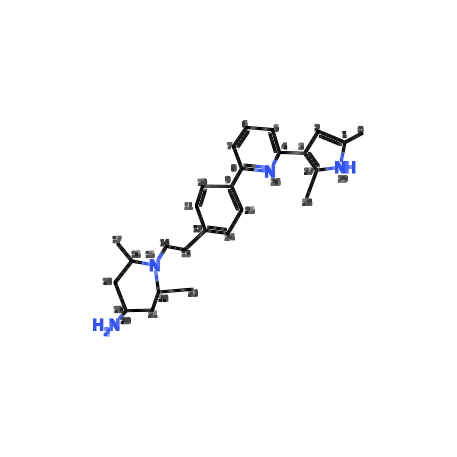 Cc1cc(-c2cccc(-c3ccc(CCN4C(C)CC(N)CC4C)cc3)n2)c(C)[nH]1